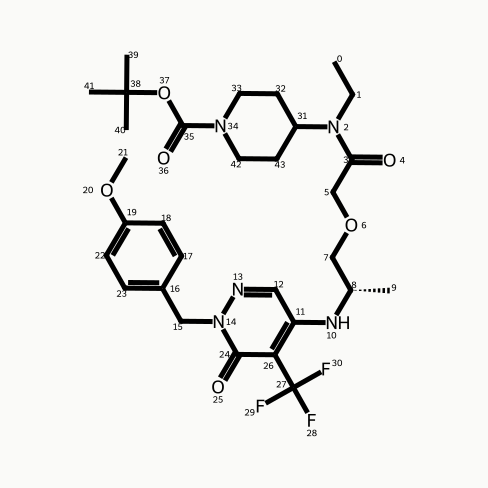 CCN(C(=O)COC[C@H](C)Nc1cnn(Cc2ccc(OC)cc2)c(=O)c1C(F)(F)F)C1CCN(C(=O)OC(C)(C)C)CC1